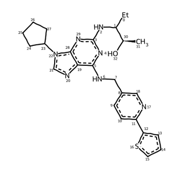 CCC(Nc1nc(NCc2ccc(-c3cccs3)nc2)c2ncn(C3CCCC3)c2n1)[C@@H](C)O